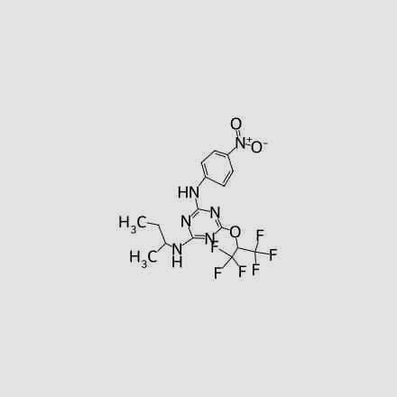 CCC(C)Nc1nc(Nc2ccc([N+](=O)[O-])cc2)nc(OC(C(F)(F)F)C(F)(F)F)n1